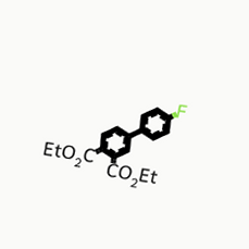 CCOC(=O)c1ccc(-c2ccc(F)cc2)cc1C(=O)OCC